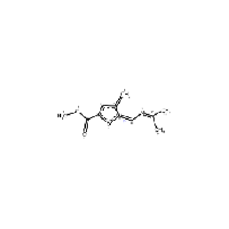 C=c1cc(C(=O)OC)o/c1=C/N=C(C)C